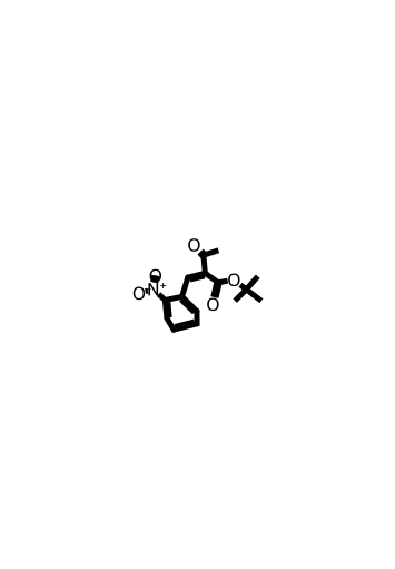 CC(=O)C(=Cc1ccccc1[N+](=O)[O-])C(=O)OC(C)(C)C